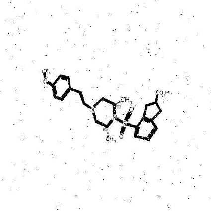 C[C@@H]1CN(CCc2ccc(OC(F)(F)F)cc2)C[C@H](C)N1S(=O)(=O)c1cccc2c1CC(C(=O)O)C2